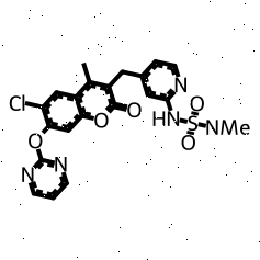 CNS(=O)(=O)Nc1cc(Cc2c(C)c3cc(Cl)c(Oc4ncccn4)cc3oc2=O)ccn1